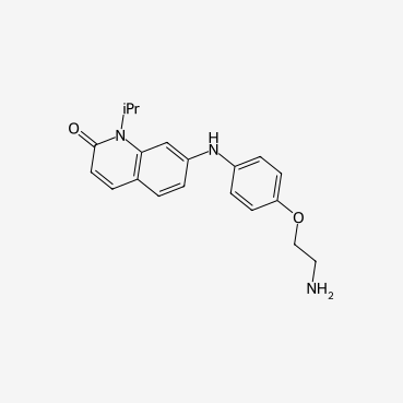 CC(C)n1c(=O)ccc2ccc(Nc3ccc(OCCN)cc3)cc21